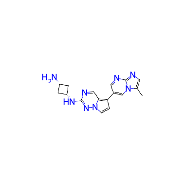 Cc1cnc2ncc(-c3ccn4nc(N[C@H]5C[C@@H](N)C5)ncc34)cn12